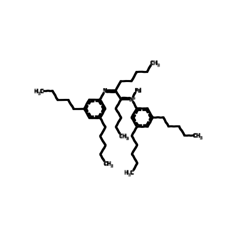 CCCCCC(=Nc1cc(CCCCC)cc(CCCCC)c1)C(CCCC)=[N+]([Pd])c1cc(CCCCC)cc(CCCCC)c1